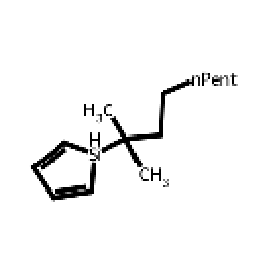 CCCCCCCC(C)(C)[SiH]1C=CC=C1